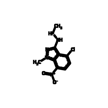 CPNc1nn(C)c2c([N+](=O)[O-])ccc(Cl)c12